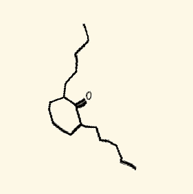 CCCCCC1CCCC(CCCCC)C1=O